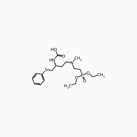 CCOP(=O)(CCN(C)CCC(CSc1ccccc1)NC(=O)O)OCC